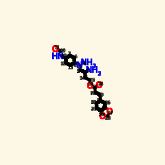 N/C(=C\N(N)c1ccc(NC=O)cc1)CCOC(=O)/C=C/c1ccc2c(c1)OCO2